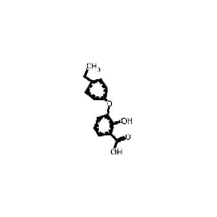 CCc1ccc(Oc2cccc(C(=O)O)c2O)cc1